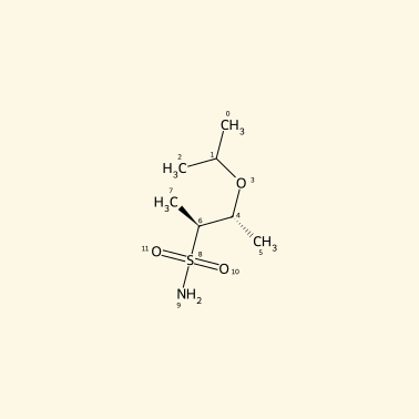 CC(C)O[C@H](C)[C@H](C)S(N)(=O)=O